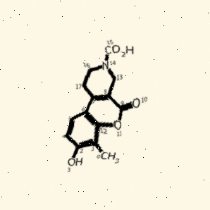 Cc1c(O)ccc2c3c(c(=O)oc12)CN(C(=O)O)CC3